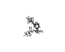 CC(C)(C)OC(=O)NCCc1nc[nH]c1-c1ccnc(CNC(=O)OC(C)(C)C)n1